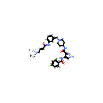 CN(C)C/C=C/C(=O)Nc1cccc(CN2CCC(NC(=O)c3n[nH]cc3NC(=O)c3c(F)cc(F)cc3F)CC2)c1